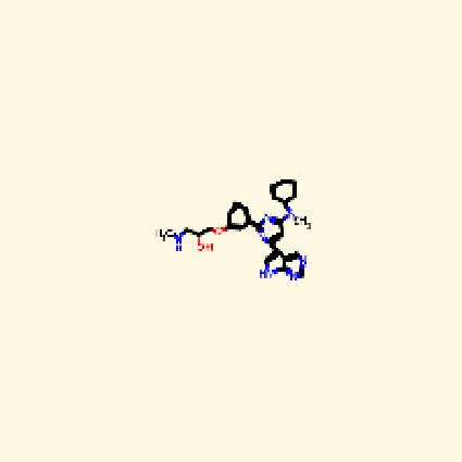 CNC[C@@H](O)COc1cccc(-c2nc(-c3c[nH]c4ncncc34)cc(N(C)C3CCCCC3)n2)c1